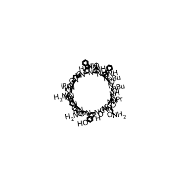 CCCC[C@H]1C(=O)N(C)[C@@H](CCCC)C(=O)N[C@@H](CC(C)C)C(=O)N[C@H](C(=O)NCC(N)=O)CNCC(=O)N[C@@H](Cc2ccc(O)cc2)C(=O)N(C)[C@@H](C)C(=O)N[C@@H](CC(N)=O)C(=O)N2CCC[C@H]2C(=O)N[C@@H](CC(N)=O)C(=O)N[C@@H](CC(C)C)C(=O)N2CCC[C@H]2C(=O)N[C@@H](Cc2c[nH]c3ccccc23)C(=O)N[C@@H](CC(N)=O)C(=O)N[C@@H](Cc2c[nH]c3ccccc23)C(=O)N1C